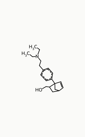 CCN(CC)CCc1ccc(C23C=CC(CC2CO)C3)cc1